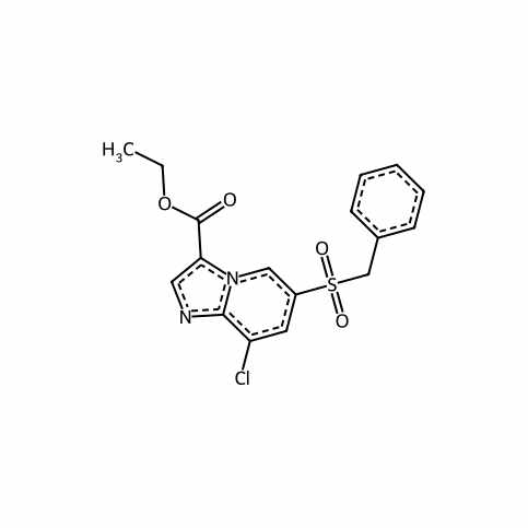 CCOC(=O)c1cnc2c(Cl)cc(S(=O)(=O)Cc3ccccc3)cn12